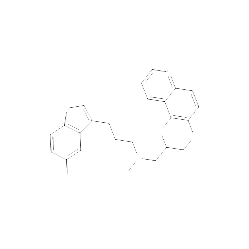 CN(CCCc1c[nH]c2ccc(F)cc12)CC1COc2ccc3ncccc3c2O1